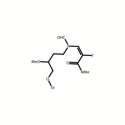 CCOCC(CCN(C=O)/C=C(/F)C(=O)NC)OC